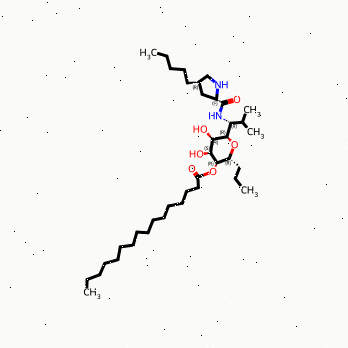 CCCCCCCCCCCCCCCC(=O)O[C@@H]1[C@@H](O)[C@@H](O)[C@@H]([C@H](NC(=O)[C@@H]2C[C@@H](CCCCC)CN2)C(C)C)O[C@@H]1CCC